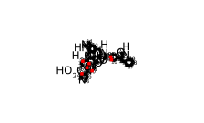 Cc1cc(CC(NC(=O)N2CCC(c3cc4ccccc4[nH]c3=O)CC2)C(=O)NC(CC2CCN(C(=O)O)CC2)C(=O)N2CCN(c3ccncc3)CC2)cc2cn[nH]c12